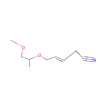 COCC(C)OCC=CCC#N